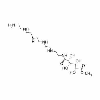 COC(=O)[C@H](O)[C@@H](O)[C@H](O)[C@@H](O)C(=O)NCCNCCNCCNCCNCCN